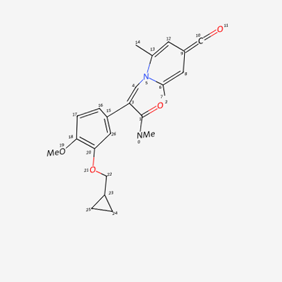 CNC(=O)/C(=C\N1C(C)=CC(=C=O)C=C1C)c1ccc(OC)c(OCC2CC2)c1